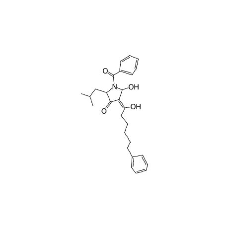 CC(C)CC1C(=O)/C(=C(/O)CCCCCc2ccccc2)C(O)N1C(=O)c1ccccc1